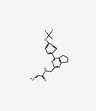 C=CC(=O)NCc1nc2c(c(-c3ccc(OC(F)(F)F)cc3)n1)CCC2